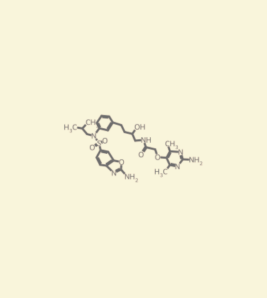 Cc1nc(N)nc(C)c1OCC(=O)NCC(O)CCc1cccc(N(CC(C)C)S(=O)(=O)c2ccc3nc(N)oc3c2)c1